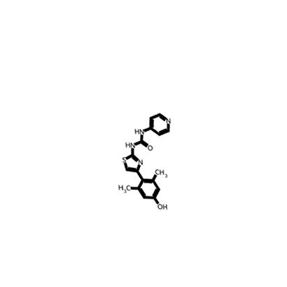 Cc1cc(O)cc(C)c1-c1csc(NC(=O)Nc2ccncc2)n1